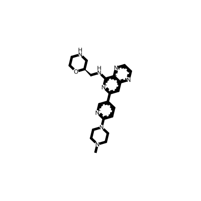 CN1CCN(c2ccc(-c3cc4nccnc4c(NC[C@@H]4CNCCO4)n3)cn2)CC1